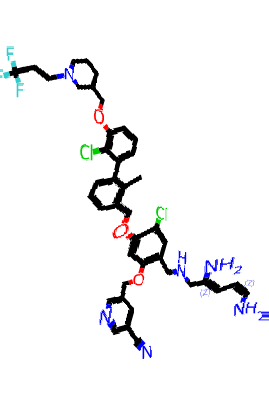 Cc1c(COc2cc(OCc3cncc(C#N)c3)c(CNC/C(N)=C/C=C\N)cc2Cl)cccc1-c1cccc(OCC2CCCN(CCC(F)(F)F)C2)c1Cl